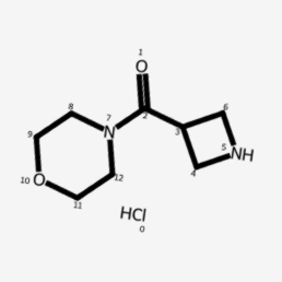 Cl.O=C(C1CNC1)N1CCOCC1